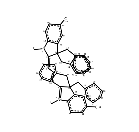 CN1/C(=C/C=C/C2=[N+](C)c3ccc(Cl)cc3C2(Cc2ccccc2)Cc2ccccc2)C(Cc2ccccc2)(Cc2ccccc2)c2cc(Cl)ccc21